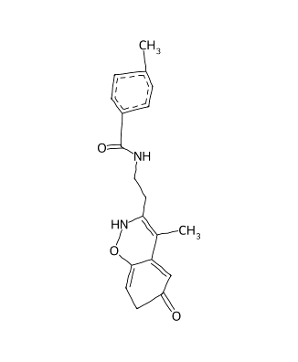 CC1=C(CCNC(=O)c2ccc(C)cc2)NOC2=CCC(=O)C=C21